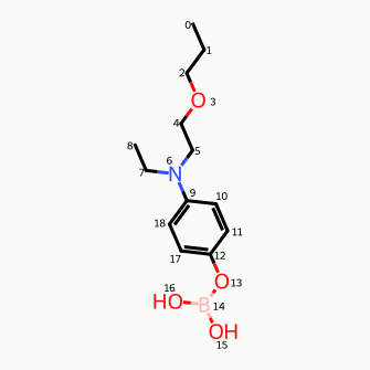 CCCOCCN(CC)c1ccc(OB(O)O)cc1